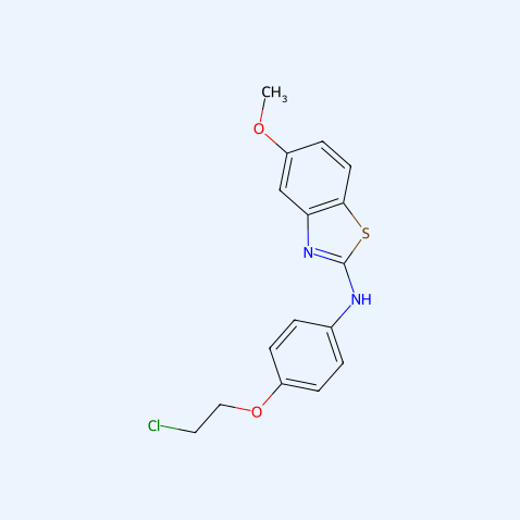 COc1ccc2sc(Nc3ccc(OCCCl)cc3)nc2c1